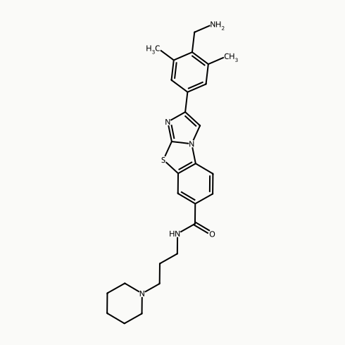 Cc1cc(-c2cn3c(n2)sc2cc(C(=O)NCCCN4CCCCC4)ccc23)cc(C)c1CN